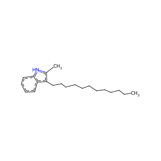 CCCCCCCCCCCCc1c(C)[nH]c2ccccc12